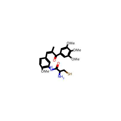 COc1ccc(C=C(C)C(=O)c2cc(OC)c(OC)c(OC)c2)cc1NC(=O)C(N)CS